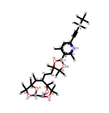 Cc1cc(C#C[Si](C)(C)C(C)(C)C)nc(C)c1B1OC(C)(C)C(C)(CCC2C(C)C3(C)OB(OC3(C)C)B3OC(C)(C)C2(C)O3)O1